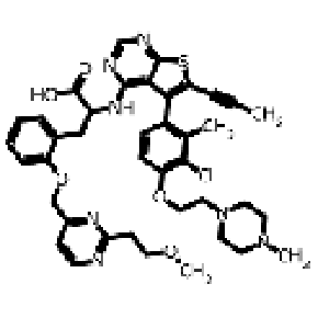 CC#Cc1sc2ncnc(NC(Cc3ccccc3OCc3ccnc(CCOC)n3)C(=O)O)c2c1-c1ccc(OCCN2CCN(C)CC2)c(Cl)c1C